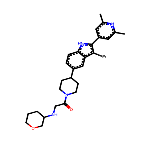 Cc1cc(-c2[nH]c3ccc(C4CCN(C(=O)CNC5CCCOC5)CC4)cc3c2C(C)C)cc(C)n1